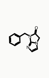 O=C1Cn2ccnc2N1Cc1ccccc1